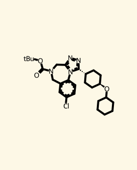 CC(C)(C)OC(=O)N1Cc2cc(Cl)ccc2-n2c(nnc2[C@H]2CC[C@H](OC3CCCCC3)CC2)C1